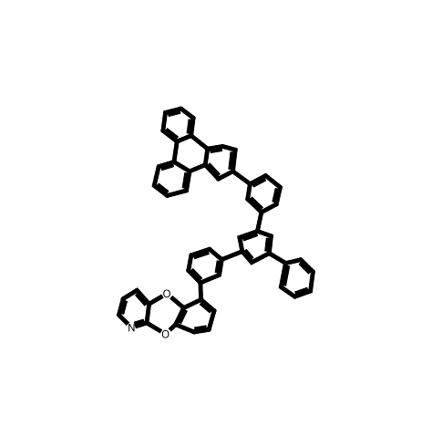 c1ccc(-c2cc(-c3cccc(-c4ccc5c6ccccc6c6ccccc6c5c4)c3)cc(-c3cccc(-c4cccc5c4Oc4cccnc4O5)c3)c2)cc1